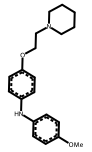 COc1ccc(Nc2ccc(OCCN3CCCCC3)cc2)cc1